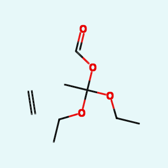 C=C.CCOC(C)(OC=O)OCC